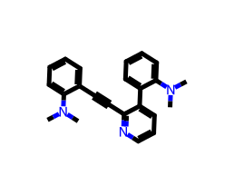 CN(C)c1ccccc1C#Cc1ncccc1-c1ccccc1N(C)C